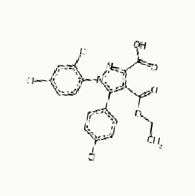 CCOC(=O)c1c(C(=O)O)nn(-c2ccc(Cl)cc2Cl)c1-c1ccc(Cl)cc1